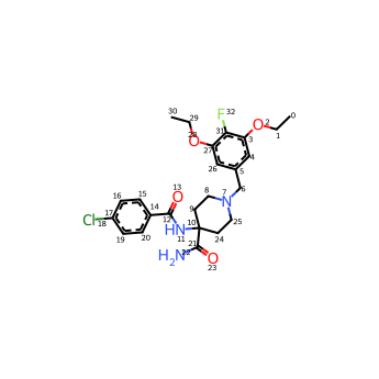 CCOc1cc(CN2CCC(NC(=O)c3ccc(Cl)cc3)(C(N)=O)CC2)cc(OCC)c1F